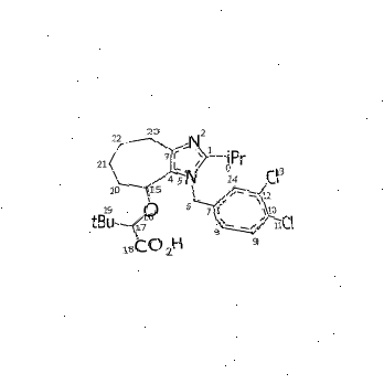 CC(C)c1nc2c(n1Cc1ccc(Cl)c(Cl)c1)C(OC(C(=O)O)C(C)(C)C)CCCC2